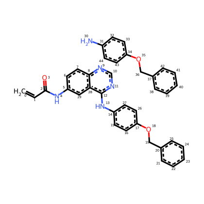 C=CC(=O)Nc1ccc2ncnc(Nc3ccc(OCc4ccccc4)cc3)c2c1.Nc1ccc(OCc2ccccc2)cc1